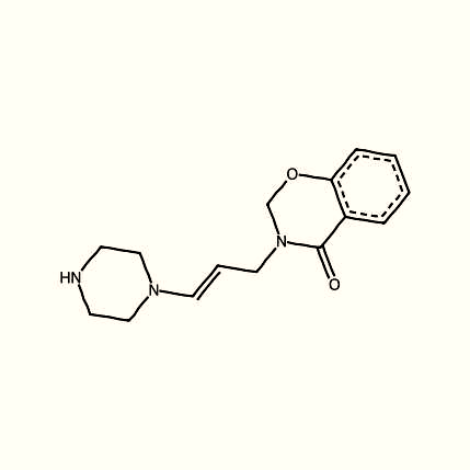 O=C1c2ccccc2OCN1CC=CN1CCNCC1